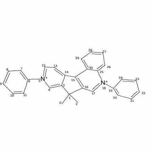 CC1(C)c2c[n+](-c3ccccc3)ccc2-c2c1c[n+](-c1ccccc1)c1ccccc21